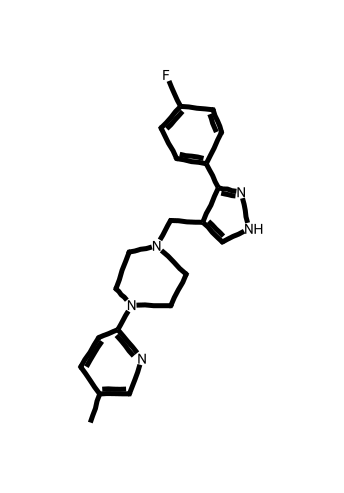 Cc1ccc(N2CCN(Cc3c[nH]nc3-c3ccc(F)cc3)CC2)nc1